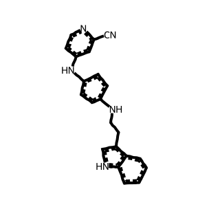 N#Cc1cc(Nc2ccc(NCCc3c[nH]c4ccccc34)cc2)ccn1